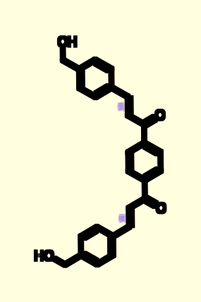 O=C(/C=C/c1ccc(CO)cc1)c1ccc(C(=O)/C=C/c2ccc(CO)cc2)cc1